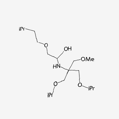 COCC(COC(C)C)(COC(C)C)NC(O)COCCC(C)C